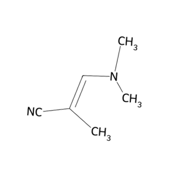 CC(C#N)=CN(C)C